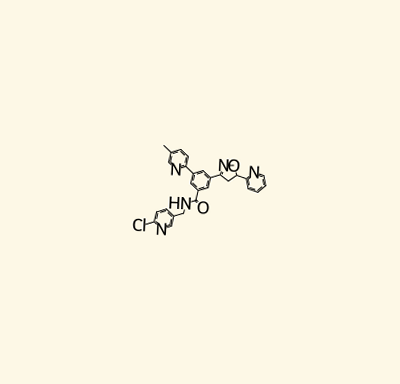 Cc1ccc(-c2cc(C(=O)NCc3ccc(Cl)nc3)cc(C3=NOC(c4ccccn4)C3)c2)nc1